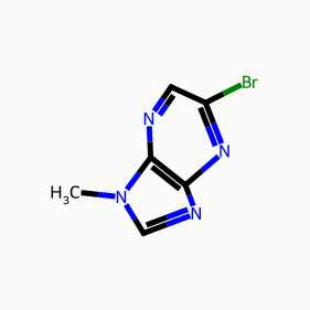 Cn1cnc2nc(Br)cnc21